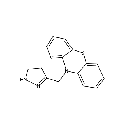 c1ccc2c(c1)Sc1ccccc1N2CC1=NNCC1